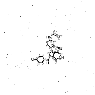 C[C@H](N[C@@H]1CC[C@@H](n2nc(Nc3ccc(Cl)cc3)c3c(=O)[nH]ccc32)[C@H](C#N)C1)C1CC1